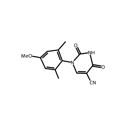 COc1cc(C)c(-n2cc(C#N)c(=O)[nH]c2=O)c(C)c1